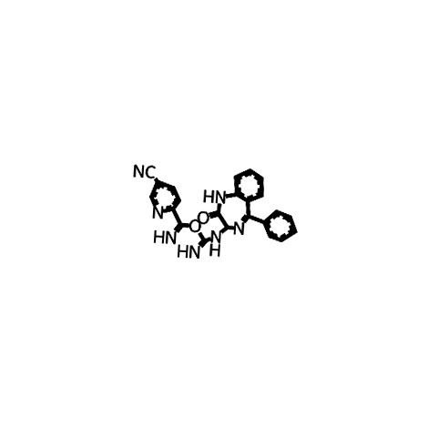 N#Cc1ccc(C(=N)OC(=N)NC2N=C(c3ccccc3)c3ccccc3NC2=O)nc1